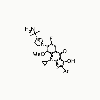 COc1c(N2CC[C@@H](C(C)(C)N)C2)c(F)cc2c(=O)c3c(O)c(C(C)=O)sc3n(C3CC3)c12